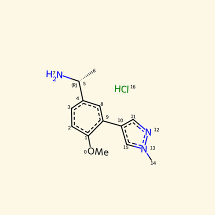 COc1ccc([C@@H](C)N)cc1-c1cnn(C)c1.Cl